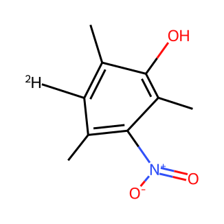 [2H]c1c(C)c(O)c(C)c([N+](=O)[O-])c1C